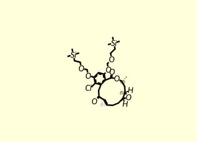 C[C@@H]1C[C@@H]2O[C@@H]2CC/C=C/C(=O)Cc2c(Cl)c(OCOCC[Si](C)(C)C)cc(OCOCC[Si](C)(C)C)c2C(=O)O1